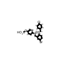 CCN(Cc1cc(Br)ccc1OCc1ccc(Cl)cc1)c1ccc(OC(=O)O)cn1